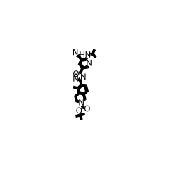 Cc1c(-c2noc(-c3cnc(NC(C)C)c(C#N)c3)n2)ccc2c1CCN(C(=O)OC(C)(C)C)C2